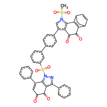 CS(=O)(=O)n1cc(-c2ccc(-c3cccc(S(=O)(=O)n4nc(-c5ccccc5)c5c4C(c4ccccc4)=CC(=O)C5=O)c3)cc2)c2c1C1=C(C(=O)C2=O)C2C=CC1CC2